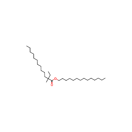 CCCCCCCCCCCCCCOC(=O)C(C)(CC)CCCCCCCCCCC